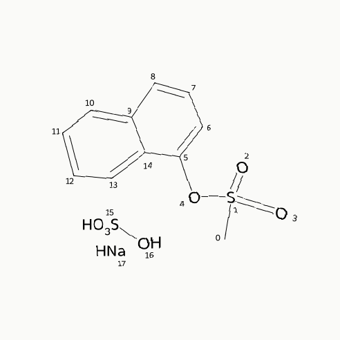 CS(=O)(=O)Oc1cccc2ccccc12.O=S(=O)(O)O.[NaH]